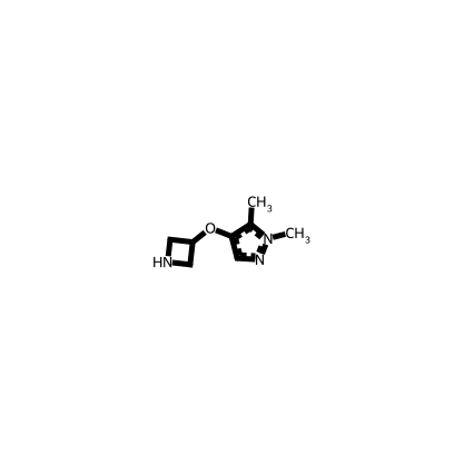 Cc1c(OC2CNC2)cnn1C